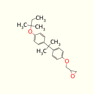 CCC(C)(C)Oc1ccc(C(C)(C)c2ccc(OCC3CO3)cc2)cc1